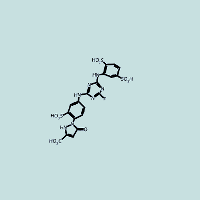 O=C(O)c1cc(=O)n(-c2ccc(Nc3nc(F)nc(Nc4cc(S(=O)(=O)O)ccc4S(=O)(=O)O)n3)cc2S(=O)(=O)O)[nH]1